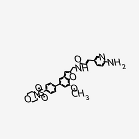 COc1cc(-c2ccc(S(=O)(=O)N3CCOCC3)cc2)cc2cc(CNC(=O)C=Cc3ccc(N)nc3)oc12